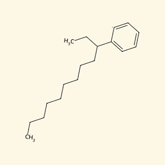 CCCCCCCCCC(CC)c1[c]cccc1